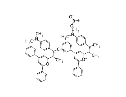 CC(=C(C)c1cc(-c2ccccc2)cc(-c2ccccc2)[o+]1)c1ccc(N(C)C)cc1.CC(=C(C)c1cc(-c2ccccc2)cc(-c2ccccc2)[o+]1)c1ccc(N(C)C)cc1.[O-]B([O-])F